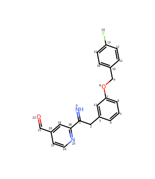 N=C(Cc1cccc(OCc2ccc(F)cc2)c1)c1cc(C=O)ccn1